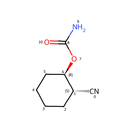 N#C[C@@H]1CCCC[C@H]1OC(N)=O